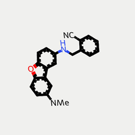 CNc1ccc2oc3ccc(NCc4ccccc4C#N)cc3c2c1